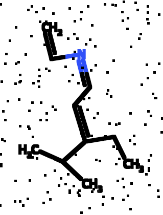 C=C/N=C\C=C(/CC)C(C)C